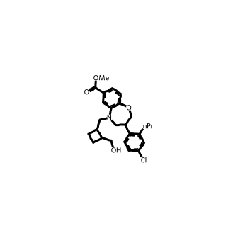 CCCc1cc(Cl)ccc1C1COc2ccc(C(=O)OC)cc2N(CC2CCC2CO)C1